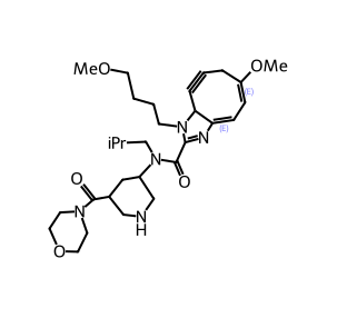 COCCCCN1C(C(=O)N(CC(C)C)C2CNCC(C(=O)N3CCOCC3)C2)=N/C2=C/C=C(/OC)CC#CC21